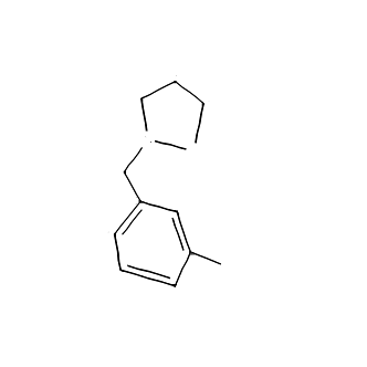 O=C(O)c1cccc(CN2CCCO2)c1